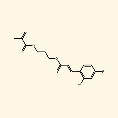 C=C(C)C(=O)OCCCOC(=O)/C=C/c1ccc(F)cc1Cl